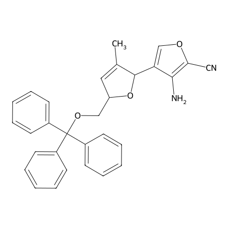 CC1=CC(COC(c2ccccc2)(c2ccccc2)c2ccccc2)OC1c1coc(C#N)c1N